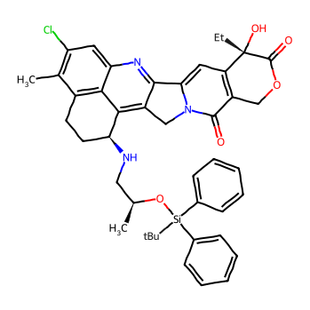 CC[C@@]1(O)C(=O)OCc2c1cc1n(c2=O)Cc2c-1nc1cc(Cl)c(C)c3c1c2[C@@H](NC[C@H](C)O[Si](c1ccccc1)(c1ccccc1)C(C)(C)C)CC3